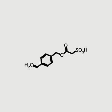 C=Cc1ccc(COC(=O)CS(=O)(=O)O)cc1